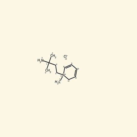 CC(C)(N)CC[N+]1(C)C=CC=CC1.[Cl-]